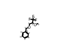 COC(COCc1ccccc1)C(F)(F)F